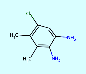 Cc1c(Cl)cc(N)c(N)c1C